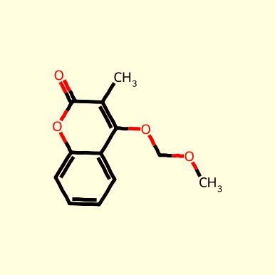 COCOc1c(C)c(=O)oc2ccccc12